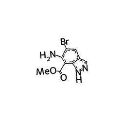 COC(=O)c1c(N)c(Br)cc2cn[nH]c12